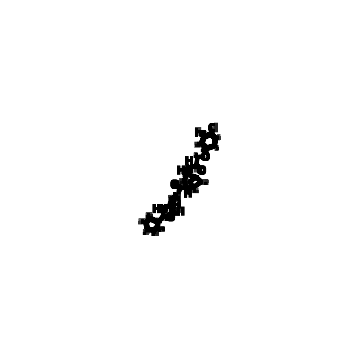 O=C(COc1ccc(Cl)c(F)c1)N[C@@H]1C[C@H](C(=O)NCC2NOC(c3ccccc3)N2)C2CC1C2